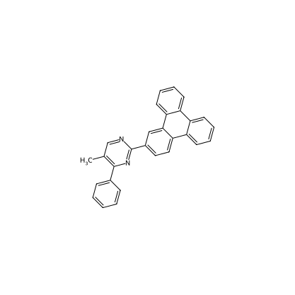 Cc1cnc(-c2ccc3c4ccccc4c4ccccc4c3c2)nc1-c1ccccc1